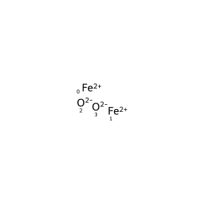 [Fe+2].[Fe+2].[O-2].[O-2]